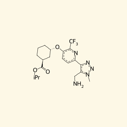 CC(C)OC(=O)[C@H]1CCC[C@H](Oc2ccc(-c3nnn(C)c3CN)nc2C(F)(F)F)C1